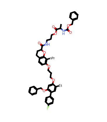 CCCc1c(OCCCOc2cc(OCc3ccccc3)c(-c3ccc(F)cc3)cc2CC)ccc2c1OC(C(=O)NCCCOC(=O)C(C)NC(=O)OCc1ccccc1)CC2